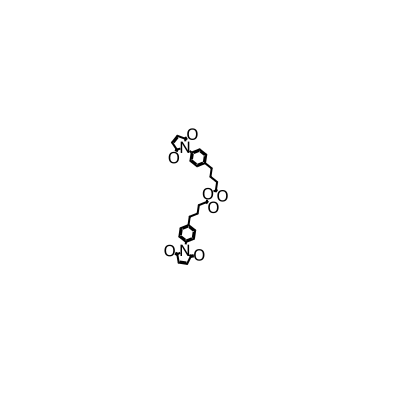 O=C(CCCc1ccc(N2C(=O)C=CC2=O)cc1)OC(=O)CCCc1ccc(N2C(=O)C=CC2=O)cc1